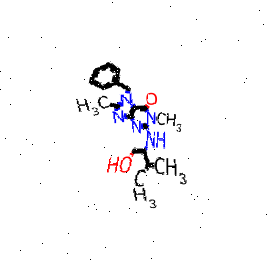 Cc1nc2nc(NC(CO)C(C)C)n(C)c(=O)c2n1Cc1ccccc1